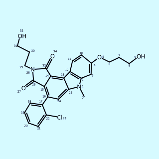 Cn1c2cc(OCCCO)ccc2c2c3c(c(-c4ccccc4Cl)cc21)C(=O)N(CCCO)C3=O